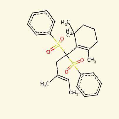 CC=C(C)CC(C1=C(C)CCCC1(C)C)(S(=O)(=O)c1ccccc1)S(=O)(=O)c1ccccc1